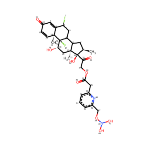 C[C@@H]1CC2C3C[C@H](F)C4=CC(=O)C=C[C@]4(C)[C@@]3(F)[C@@H](O)C[C@]2(C)[C@@]1(O)C(=O)COC(=O)Cc1cccc(CON(O)O)n1